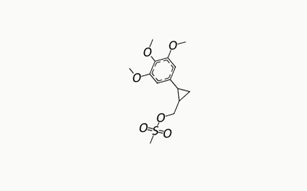 COc1cc(C2CC2COS(C)(=O)=O)cc(OC)c1OC